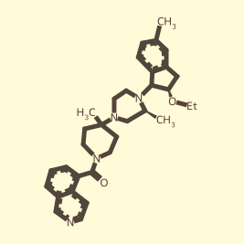 CCO[C@@H]1Cc2cc(C)ccc2C1N1CCN(C2(C)CCN(C(=O)c3cccc4cnccc34)CC2)C[C@@H]1C